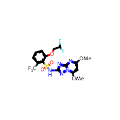 COc1cc(OC)n2nc(NS(=O)(=O)c3c(OCC(F)F)cccc3C(F)(F)F)nc2n1